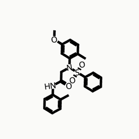 COc1ccc(C)c(N(CC(=O)Nc2ccccc2C)S(=O)(=O)c2ccccc2)c1